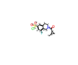 CC1CC1C(=O)N1CCc2cc(S(=O)(=O)Cl)cc(F)c2C1